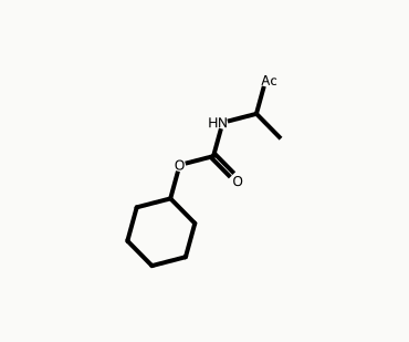 CC(=O)C(C)NC(=O)OC1CCCCC1